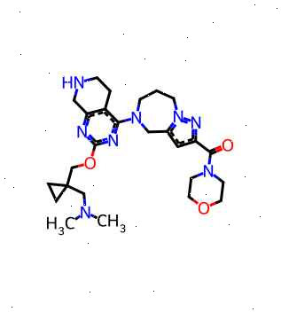 CN(C)CC1(COc2nc3c(c(N4CCCn5nc(C(=O)N6CCOCC6)cc5C4)n2)CCNC3)CC1